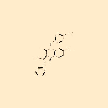 COc1ccc(Cn2c(=O)c3c(N)n(-c4ccccc4)nc3c3ccc([N+](=O)[O-])cc32)cc1